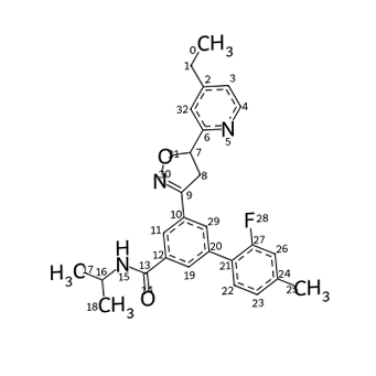 CCc1ccnc(C2CC(c3cc(C(=O)NC(C)C)cc(-c4ccc(C)cc4F)c3)=NO2)c1